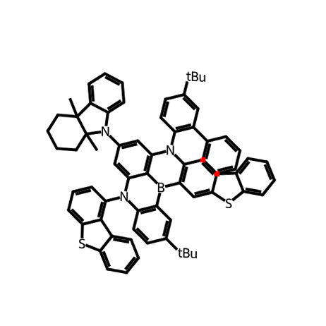 CC(C)(C)c1ccc2c(c1)B1c3cc4sc5ccccc5c4cc3N(c3ccc(C(C)(C)C)cc3-c3ccccc3)c3cc(N4c5ccccc5C5(C)CCCCC45C)cc(c31)N2c1cccc2sc3ccccc3c12